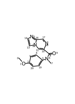 COc1ccc(N(C)C(=O)c2cn3ccnc3cn2)cc1